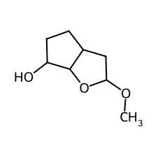 COC1CC2CCC(O)C2O1